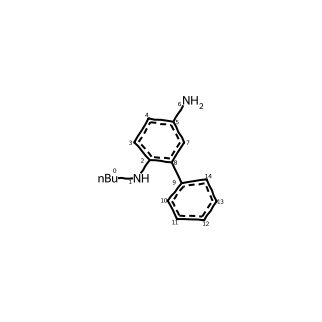 CCCCNc1ccc(N)cc1-c1ccccc1